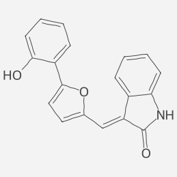 O=C1Nc2ccccc2/C1=C\c1ccc(-c2ccccc2O)o1